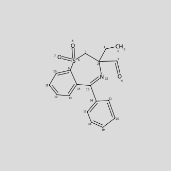 CCC1(C=O)CS(=O)(=O)c2ccccc2C(c2ccccc2)=N1